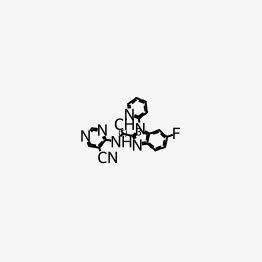 C[C@H](Nc1ncncc1C#N)c1nc2ccc(F)cc2n1-c1ccccn1